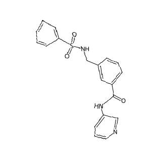 O=C(Nc1cccnc1)c1cccc(CNS(=O)(=O)c2ccccc2)c1